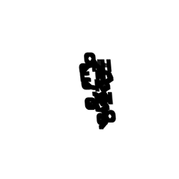 CCOC(=O)c1cc(OC)n2c(C)c(-c3cc4ccc5nc4n3CCCCCCCC(=O)N[C@@H]5C)nc2c1